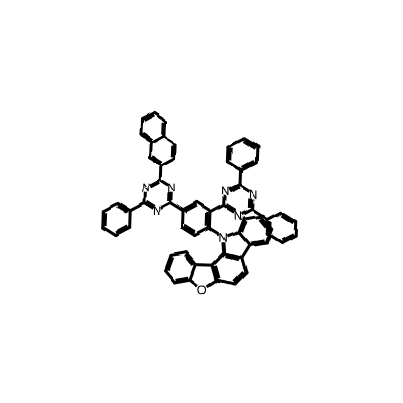 c1ccc(-c2nc(-c3ccc(-n4c5ccccc5c5ccc6oc7ccccc7c6c54)c(-c4nc(-c5ccccc5)nc(-c5ccccc5)n4)c3)nc(-c3ccc4ccccc4c3)n2)cc1